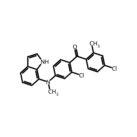 Cc1cc(Cl)ccc1C(=O)c1ccc(N(C)c2cccc3cc[nH]c23)cc1Cl